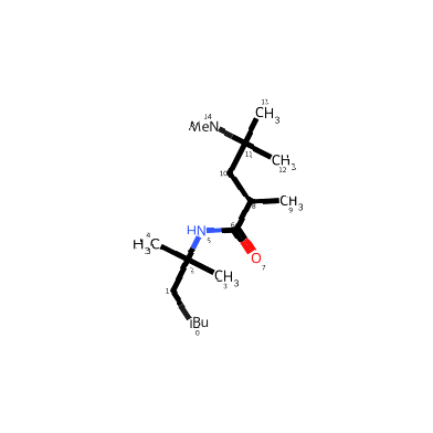 CCC(C)CC(C)(C)NC(=O)C(C)CC(C)(C)NC